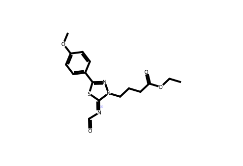 CCOC(=O)CCCn1nc(-c2ccc(OC)cc2)s/c1=N\C=O